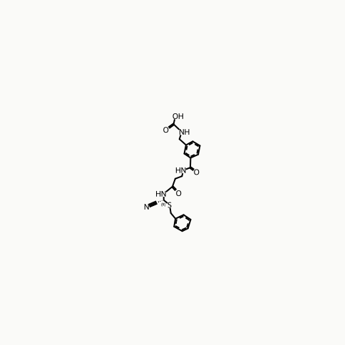 N#C[C@H](NC(=O)CCNC(=O)c1cccc(CNC(=O)O)c1)SCc1ccccc1